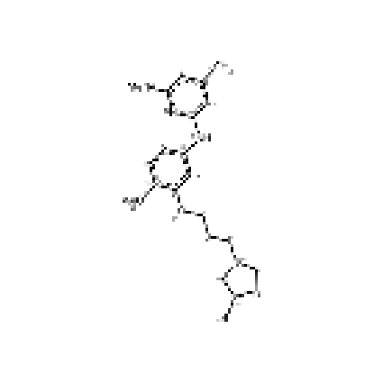 CNc1cc(C)nc(Nc2ccc(OC)c(OCCCN3CCC(F)C3)c2)n1